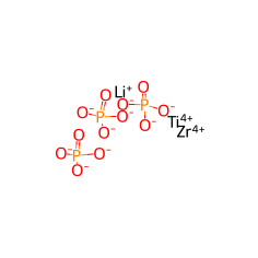 O=P([O-])([O-])[O-].O=P([O-])([O-])[O-].O=P([O-])([O-])[O-].[Li+].[Ti+4].[Zr+4]